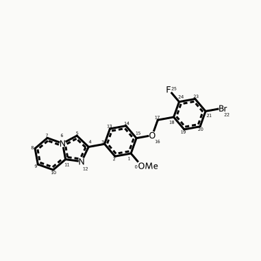 COc1cc(-c2cn3ccccc3n2)ccc1OCc1ccc(Br)cc1F